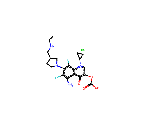 CCNCC1CCN(c2c(F)c(N)c3c(=O)c(OC(=O)O)cn(C4CC4)c3c2F)C1.Cl